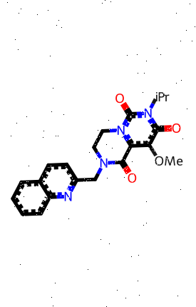 COc1c2n(c(=O)n(C(C)C)c1=O)CCN(Cc1ccc3ccccc3n1)C2=O